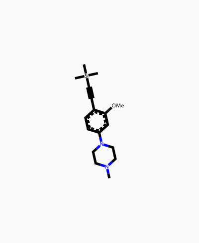 COc1cc(N2CCN(C)CC2)ccc1C#C[Si](C)(C)C